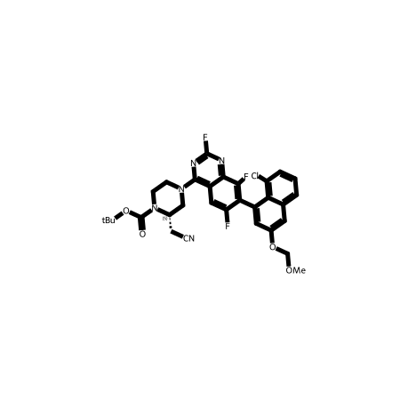 COCOc1cc(-c2c(F)cc3c(N4CCN(C(=O)OC(C)(C)C)[C@@H](CC#N)C4)nc(F)nc3c2F)c2c(Cl)cccc2c1